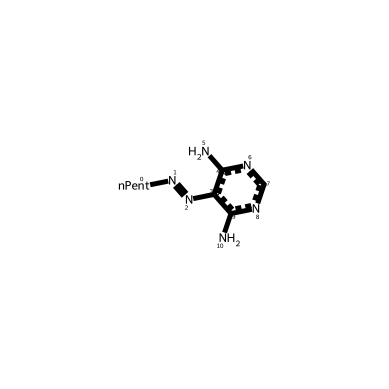 CCCCC/N=N/c1c(N)ncnc1N